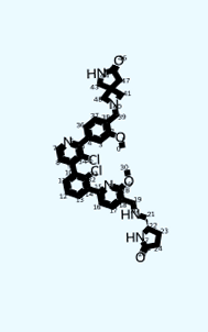 COc1cc(-c2nccc(-c3cccc(-c4ccc(CNC[C@@H]5CCC(=O)N5)c(OC)n4)c3Cl)c2Cl)ccc1CN1CC2(CNC(=O)C2)C1